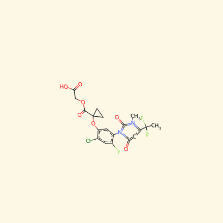 Cn1c(C(C)(F)F)cc(=O)n(-c2cc(OC3(C(=O)OCC(=O)O)CC3)c(Cl)cc2F)c1=O